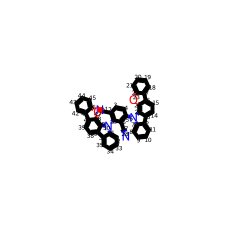 N#Cc1ccc(-n2c3ccccc3c3ccc4c5ccccc5oc4c32)c(C#N)c1-n1c2ccccc2c2ccc3c4ccccc4oc3c21